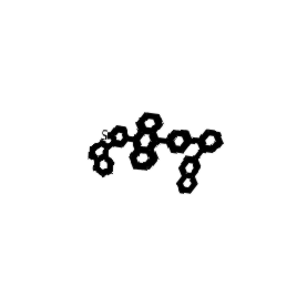 c1ccc(-c2ccc3ccccc3c2)c(-c2ccc(-c3c4ccccc4c(-c4ccc5sc6ccc7ccccc7c6c5c4)c4ccccc34)cc2)c1